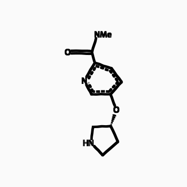 CNC(=O)c1ccc(O[C@@H]2CCNC2)cn1